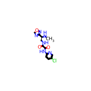 CN[C@@H](CNC(=O)C(=O)Nc1ccc(Cl)cn1)c1ncon1